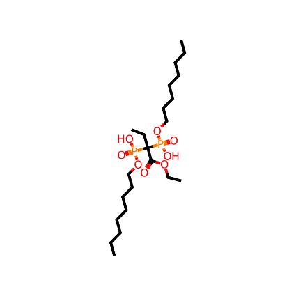 CCCCCCCCOP(=O)(O)C(CC)(C(=O)OCC)P(=O)(O)OCCCCCCCC